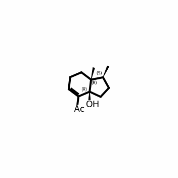 CC(=O)C1=CCC[C@]2(C)[C@@H](C)CC[C@]12O